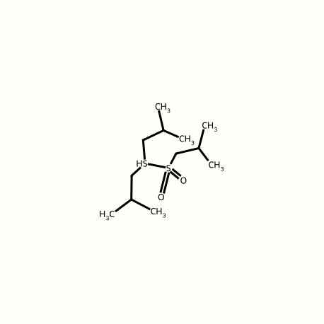 CC(C)C[SH](CC(C)C)S(=O)(=O)CC(C)C